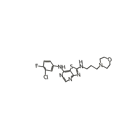 Fc1ccc(Nc2ncnc3nc(NCCCN4CCOCC4)sc23)cc1Cl